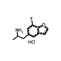 CC(N)Cc1cc(F)c2occc2c1.Cl